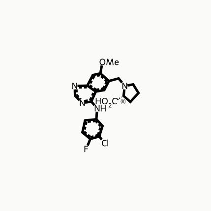 COc1cc2ncnc(Nc3ccc(F)c(Cl)c3)c2cc1CN1CCC[C@@H]1C(=O)O